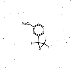 COc1cccc(C2(F)SC2(F)F)c1